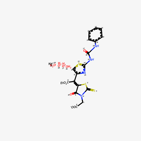 CCOC(=O)C(=C1SC(=S)N(CC(=O)[O-])C1=O)c1csc(NC(=O)Nc2ccccc2)n1.O.O.O.O.[Na+]